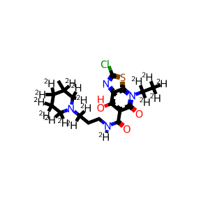 [2H]N(CCC([2H])([2H])N1C([2H])([2H])C([2H])([2H])C([2H])([2H])C([2H])(C)C1([2H])[2H])C(=O)c1c(O)c2nc(Cl)sc2n(C([2H])([2H])C([2H])([2H])[2H])c1=O